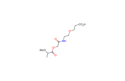 COC(C)C(=O)OCC(=O)NCCOCCC(=O)O